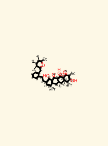 CCC1OC(Cc2ccccc2CCc2cc(C(C)C)c3c(c2O)C(=O)C2=C(O)[C@@]4(O)C(=O)C(C(C)=O)=C(O)C(C(C)C)[C@@]4(C)C[C@@]2(C)C3)[C@@H](C)[C@@H](C)[C@H]1C